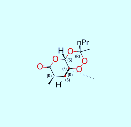 CCC[C@@]1(C)OO[C@]23C[C@H](C)CC[C@H]2[C@@H](C)C(=O)O[C@@H]3O1